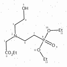 CCOC(=O)CN(CCO)CCP(=O)(OCC)OCC